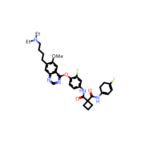 CCN(CC)CCCCc1cc2ncnc(Oc3ccc(NC(=O)C4(C(=O)NC5=CC=C(F)CC5)CCC4)cc3F)c2cc1OC